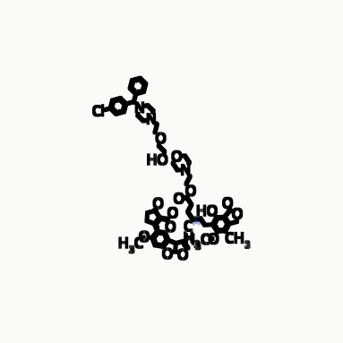 COc1c(C)c2c(c(O)c1C/C=C(\C)CCC(=O)OCCN1CCOCC1)C(=O)OC2.COc1cc2c(c3oc(=O)c4c(c13)CCC4=O)C1C=COC1O2.OCCOCCN1CCN(C(c2ccccc2)c2ccc(Cl)cc2)CC1